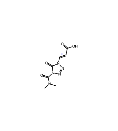 CN(C)C(=O)n1nnn(/C=C/C(=O)O)c1=O